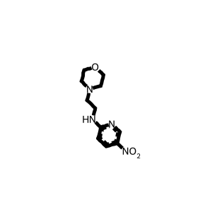 O=[N+]([O-])c1ccc(NCCN2CCOCC2)nc1